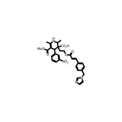 COC(=O)C1=C(C)NC(C)C(CCOC(=O)C=Cc2ccc(Cn3ccnc3)cc2)(C(=O)O)C1c1cccc([N+](=O)[O-])c1